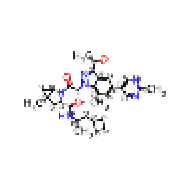 CC(=O)c1nn(CC(=O)N2C3C[C@]3(C)C[C@H]2C(=O)NC(C)CC2CCC2)c2c(C)cc(-c3cnc(C)nc3)cc12